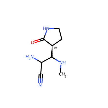 CNC(C(N)C#N)[C@@H]1CCNC1=O